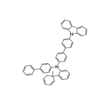 CC1(c2ccccc2N(c2ccc(-c3ccccc3)cc2)c2ccc(-c3ccc(-n4c5ccccc5c5ccccc54)cc3)cc2)C=CC=CC1